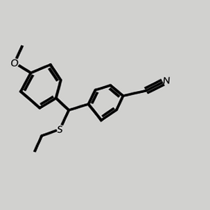 CCSC(c1ccc(C#N)cc1)c1ccc(OC)cc1